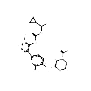 Cc1nc(-c2nnn(C)c2NC(=O)NC(C)C2CC2)ccc1O[C@H]1CCC[C@H](C(=O)O)C1